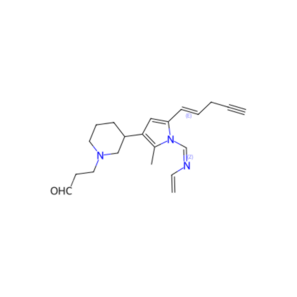 C#CC/C=C/c1cc(C2CCCN(CCC=O)C2)c(C)n1/C=N\C=C